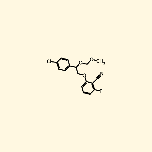 COCOC(COc1cccc(F)c1C#N)c1ccc(Cl)cc1